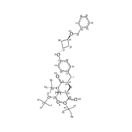 CC(C)(C)OC(=O)N[C@@H](C[C@H](Cc1ccc(O[C@H]2C[C@H](OCc3ccccc3)C2)cc1)C(=O)OC(C)(C)C)C(=O)OC(C)(C)C